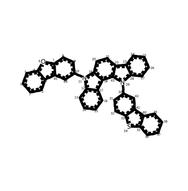 c1ccc2c(c1)oc1ccc(-n3c4ccccc4c4c3ccc3c5ccccc5n(-c5ccc6sc7ccccc7c6c5)c34)cc12